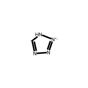 [C]1=NN=[N+]N1